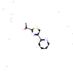 CC(=O)c1nc(-c2ccccn2)cs1